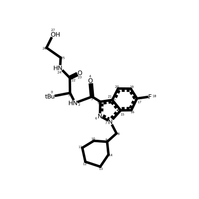 CC(C)(C)C(NC(=O)c1nn(CC2CCCCC2)c2cc(F)ccc12)C(=O)NCCO